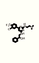 CN(C)CCNc1nc(NCC(O)c2ccccc2)cc(-c2ccc(C(F)(F)F)c(Cl)c2)n1